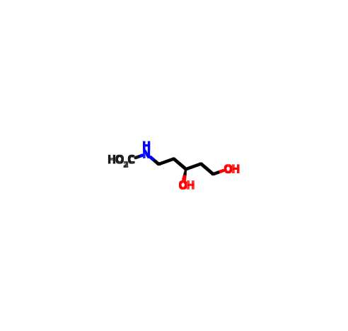 O=C(O)NCC[C@H](O)CCO